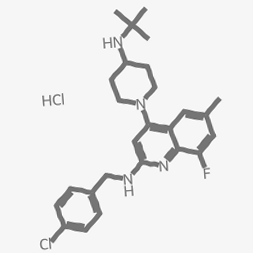 Cc1cc(F)c2nc(NCc3ccc(Cl)cc3)cc(N3CCC(NC(C)(C)C)CC3)c2c1.Cl